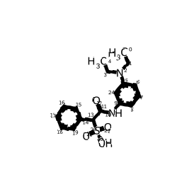 CCN(CC)c1cccc(NC(=O)C(c2ccccc2)S(=O)(=O)O)c1